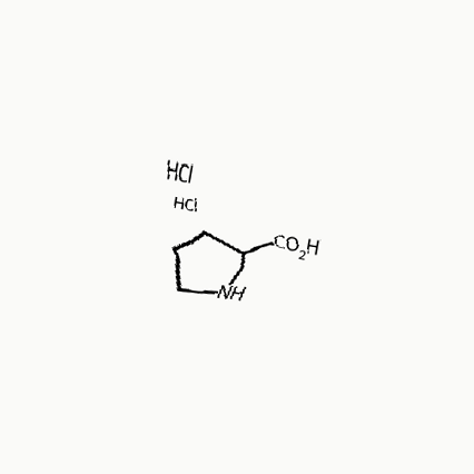 Cl.Cl.O=C(O)C1CCCN1